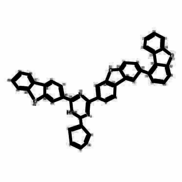 c1ccc(C2N=C(c3ccc4c(c3)oc3ccc(-c5cccc6oc7ccccc7c56)cc34)N=C(c3ccc4c(c3)oc3ccccc34)N2)cc1